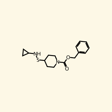 O=C(OCc1ccccc1)N1CCC(SNC2CC2)CC1